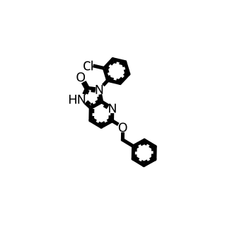 O=c1[nH]c2ccc(OCc3ccccc3)nc2n1-c1ccccc1Cl